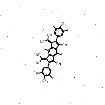 N#CC(C#N)=C1C(c2cc(F)c(C(F)(F)F)c(F)c2)=C(C#N)c2c(F)c3c(c(F)c21)C(=C(C#N)C#N)C(c1cc(F)c(C(F)(F)F)c(F)c1)=C3C#N